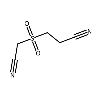 N#CCCS(=O)(=O)CC#N